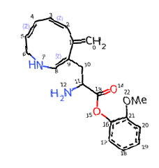 C=C1/C=C\C=C/CN/C=C\1CC(N)C(=O)Oc1ccccc1OC